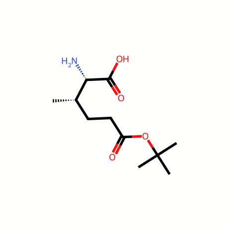 C[C@@H](CCC(=O)OC(C)(C)C)[C@H](N)C(=O)O